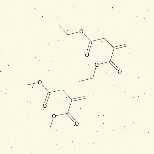 C=C(CC(=O)OC)C(=O)OC.C=C(CC(=O)OCC)C(=O)OCC